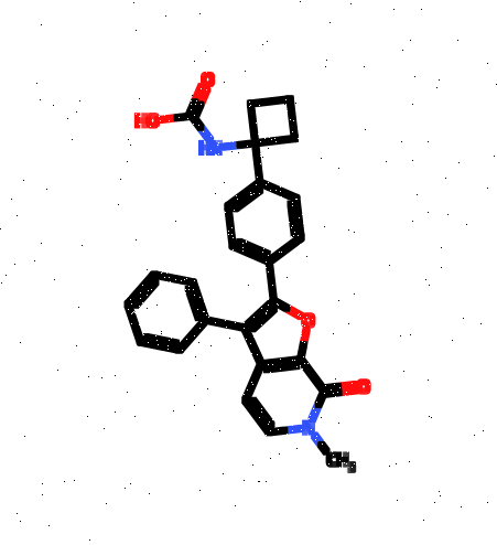 Cn1ccc2c(-c3ccccc3)c(-c3ccc(C4(NC(=O)O)CCC4)cc3)oc2c1=O